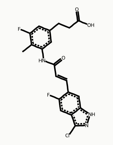 Cc1c(F)cc(CCC(=O)O)cc1NC(=O)/C=C/c1cc2[nH]nc(Cl)c2cc1F